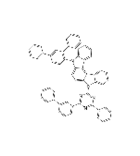 c1ccc(-c2cccc(-c3nc(-c4ccccc4)nc(-n4c5ccccc5c5c6c7ccccc7n(-c7ccc(-c8ccccc8)cc7-c7ccccc7)c6ccc54)n3)c2)cc1